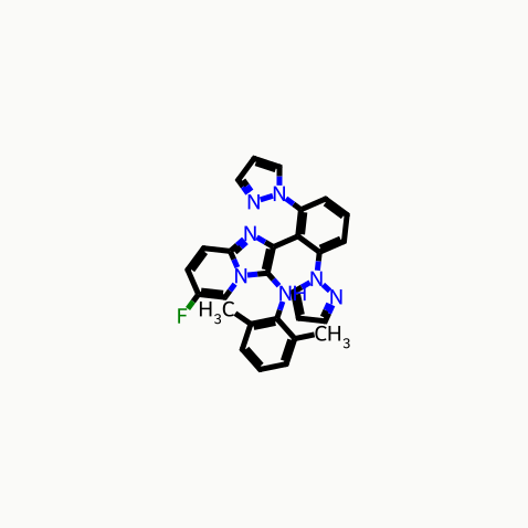 Cc1cccc(C)c1Nc1c(-c2c(-n3cccn3)cccc2-n2cccn2)nc2ccc(F)cn12